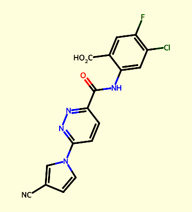 N#Cc1ccn(-c2ccc(C(=O)Nc3cc(Cl)c(F)cc3C(=O)O)nn2)c1